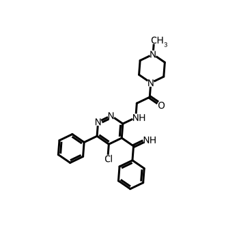 CN1CCN(C(=O)CNc2nnc(-c3ccccc3)c(Cl)c2C(=N)c2ccccc2)CC1